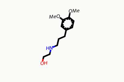 COc1ccc(CCCNCCO)cc1OC